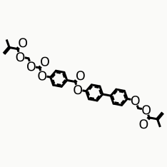 C=C(C)C(=O)OCOC(=O)Oc1ccc(C(=O)Oc2ccc(-c3ccc(OCOC(=O)C(=C)C)cc3)cc2)cc1